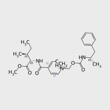 C=[N+](/C=C\C(=C/C)C(=O)N[C@H](C(=O)OC)[C@@H](C)CC)COC(=O)N[C@@H](C)Cc1ccccc1